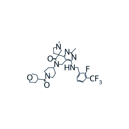 Cc1nc(NCc2cccc(C(F)(F)F)c2F)c2c(n1)C1(CCN(C)C1)C(=O)N(C1CCN(C(=O)C3CCOCC3)CC1)C2